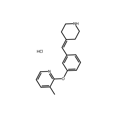 Cc1cccnc1Oc1cccc(C=C2CCNCC2)c1.Cl